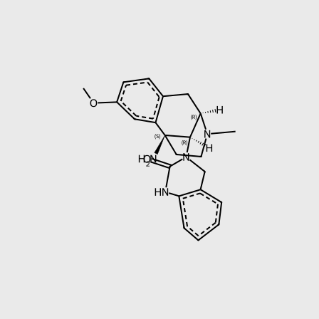 COc1ccc2c(c1)[C@@]1(N)CCN(C)[C@H](C2)[C@H]1N1Cc2ccccc2NC1=O